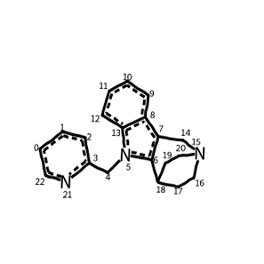 c1ccc(Cn2c3c(c4ccccc42)CN2CCC3CC2)nc1